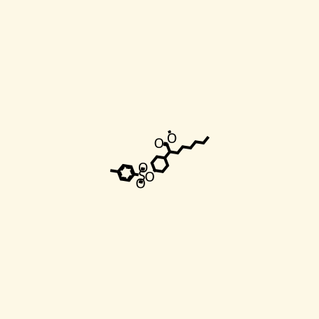 CCCCCCC(C(=O)OC)C1CCC(OS(=O)(=O)c2ccc(C)cc2)CC1